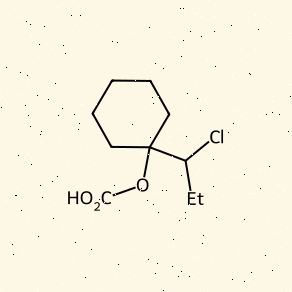 CCC(Cl)C1(OC(=O)O)CCCCC1